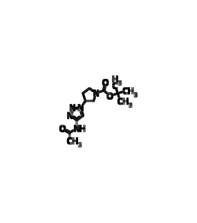 CC(=O)Nc1cn(C2CCN(C(=O)OC(C)(C)C)C2)nn1